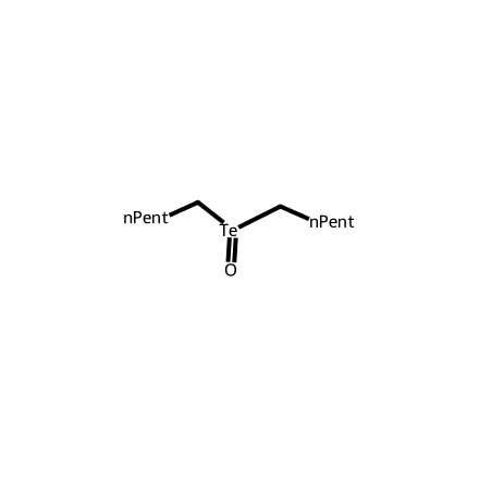 CCCCCC[Te](=O)CCCCCC